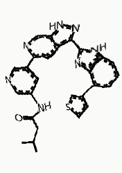 CC(C)CC(=O)Nc1cncc(-c2cc3c(-c4nc5c(-c6ccsc6)cccc5[nH]4)n[nH]c3cn2)c1